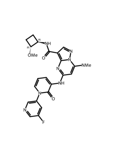 CNc1cc(Nc2cccn(-c3cncc(F)c3)c2=O)nc2c(C(=O)N[C@@H]3CC[C@H]3OC)cnn12